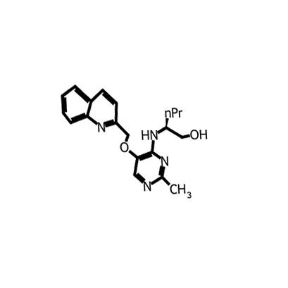 CCC[C@@H](CO)Nc1nc(C)ncc1OCc1ccc2ccccc2n1